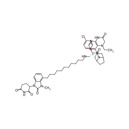 CCN1CC(=O)Nc2ncnc(N3CC4CCC(C3)N4C(=O)[C@H](CNCCCCCCCCCCCc3cccc4c3n(C)c(=O)n4C3CCC(=O)NC3=O)c3ccc(Cl)cc3)c21